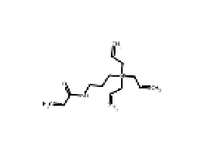 C=CC[N+](CC=C)(CC=C)CCCNC(=O)C=C